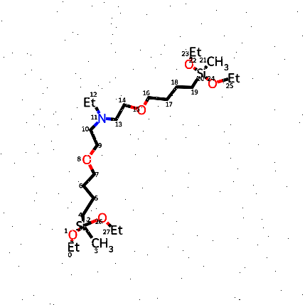 CCO[Si](C)(CCCCOCCN(CC)CCOCCCC[Si](C)(OCC)OCC)OCC